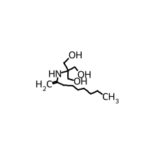 C=C(CCCCCCC)NC(CO)(CO)CO